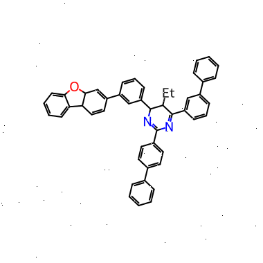 CCC1C(c2cccc(-c3ccccc3)c2)=NC(c2ccc(-c3ccccc3)cc2)=NC1c1cccc(C2=CC3Oc4ccccc4C3C=C2)c1